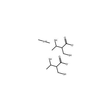 CC(S)C(CS)C(=O)[O-].CC(S)C(CS)C(=O)[O-].[CH3][Sn+2][CH3]